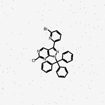 Clc1ncc2c(-c3cccc(Br)n3)nn(C(c3ccccc3)(c3ccccc3)c3ccccc3)c2n1